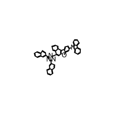 c1ccc2cc(-c3nc(-c4ccc5ccccc5c4)nc(-c4cc5oc6cc(-n7c8ccccc8c8ccccc87)ccc6c5c5ccccc45)n3)ccc2c1